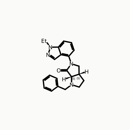 CCn1ncc2c(N3C[C@@H]4CCN(Cc5ccccc5)[C@@H]4C3=O)cccc21